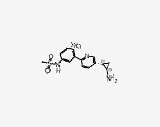 CS(=O)(=O)Nc1cccc(-c2ccc([C@@H]3C[C@H]3N)cn2)c1.Cl